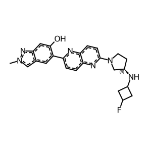 Cn1cc2cc(-c3ccc4nc(N5CC[C@@H](NC6CC(F)C6)C5)ccc4n3)c(O)cc2n1